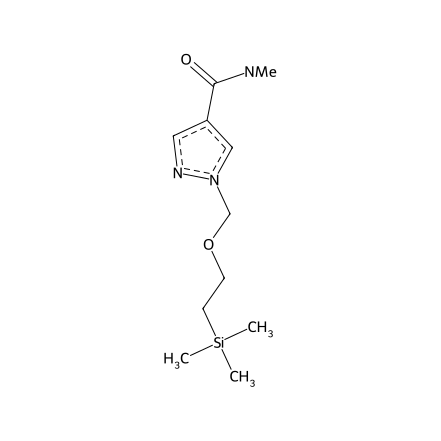 CNC(=O)c1cnn(COCC[Si](C)(C)C)c1